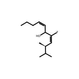 CCC/C=C\C(O)/C(F)=C\[C@H](C)C(C)C